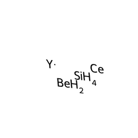 [BeH2].[Ce].[SiH4].[Y]